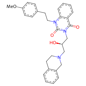 COc1ccc(CCn2c(=O)n(C[C@H](O)CN3CCc4ccccc4C3)c(=O)c3ccccc32)cc1